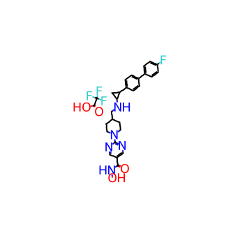 O=C(NO)c1cnc(N2CCC(CNC3CC3c3ccc(-c4ccc(F)cc4)cc3)CC2)nc1.O=C(O)C(F)(F)F